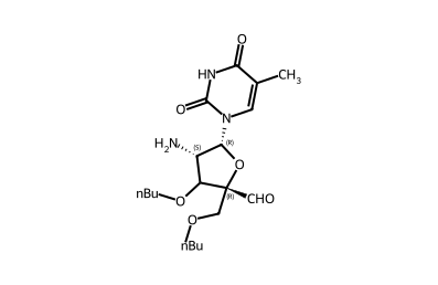 CCCCOC[C@@]1(C=O)O[C@@H](n2cc(C)c(=O)[nH]c2=O)[C@@H](N)C1OCCCC